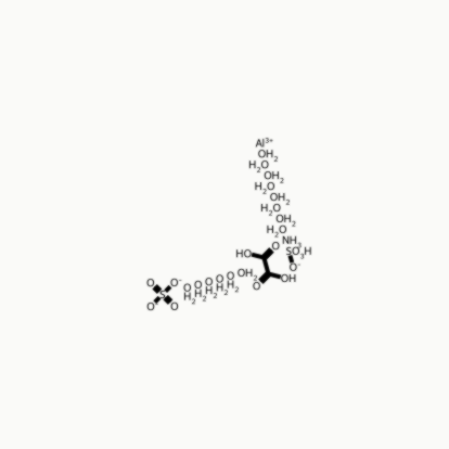 N.O.O.O.O.O.O.O.O.O.O.O.O.O.O.O=C(O)C(=O)O.O=S(=O)([O-])O.O=S(=O)([O-])[O-].[Al+3]